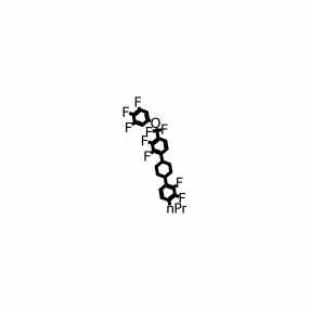 CCCc1ccc(C2CCC(c3ccc(C(F)(F)Oc4cc(F)c(F)c(F)c4)c(F)c3F)CC2)c(F)c1F